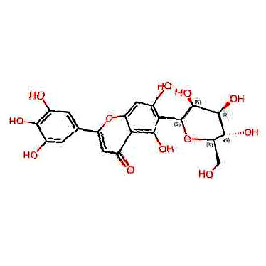 O=c1cc(-c2cc(O)c(O)c(O)c2)oc2cc(O)c([C@@H]3O[C@H](CO)[C@@H](O)[C@H](O)[C@@H]3O)c(O)c12